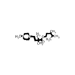 CC(C)C(C)CCOC(=O)C(C)(C)CCN1CCN(C)CC1